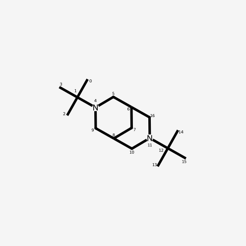 CC(C)(C)N1CC2CC(C1)CN(C(C)(C)C)C2